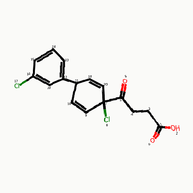 O=C(O)CCC(=O)C1(Cl)C=CC(c2cccc(Cl)c2)C=C1